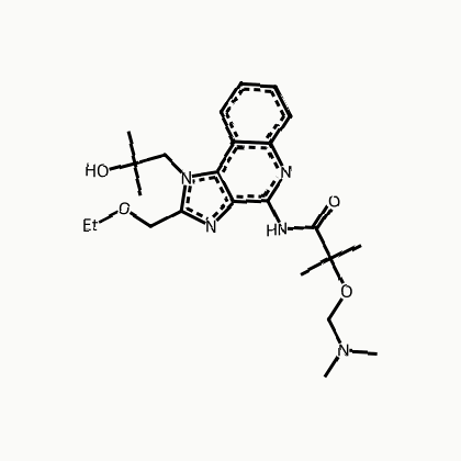 CCOCc1nc2c(NC(=O)C(C)(C)OCN(C)C)nc3ccccc3c2n1CC(C)(C)O